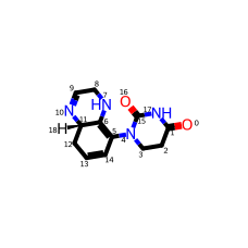 O=C1CCN(C2=C3NCC=N[C@H]3CC=C2)C(=O)N1